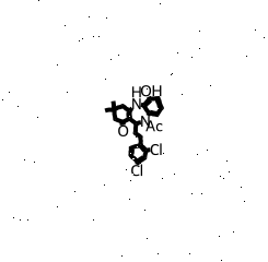 CC(=O)N1c2cccc(O)c2NC2=C(C(=O)CC(C)(C)C2)C1CCc1ccc(Cl)cc1Cl